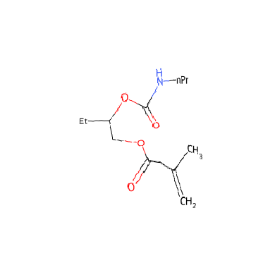 C=C(C)C(=O)OCC(CC)OC(=O)NCCC